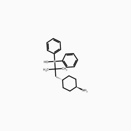 CC(C)(C[C@H]1CC[C@H](N)CC1)[Si](O)(c1ccccc1)c1ccccc1